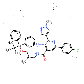 CC(CNC(=O)c1cc(-c2ccc(Cl)cc2)nc(-c2cnn(C)c2)c1N)CO[Si](c1ccccc1)(c1ccccc1)C(C)(C)C